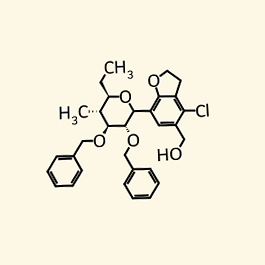 CC[C@H]1OC(c2cc(CO)c(Cl)c3c2OCC3)[C@H](OCc2ccccc2)[C@@H](OCc2ccccc2)[C@@H]1C